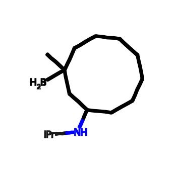 BC1(C)CCCCCCCC(NC(C)C)C1